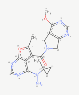 COc1ncnc2c1CN(C(=O)c1c(C)oc3ncnc(N(N)C4(C)CC4)c13)C2